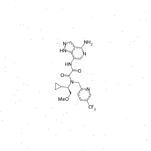 COC[C@@H](C1CC1)N(Cc1ccc(C(F)(F)F)cn1)C(=O)C(=O)Nc1cnc(N)c2cn[nH]c12